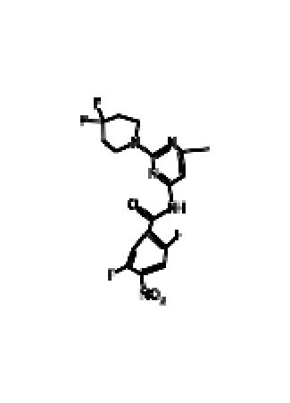 Cc1cc(NC(=O)c2cc(F)c([N+](=O)[O-])cc2F)nc(N2CCC(F)(F)CC2)n1